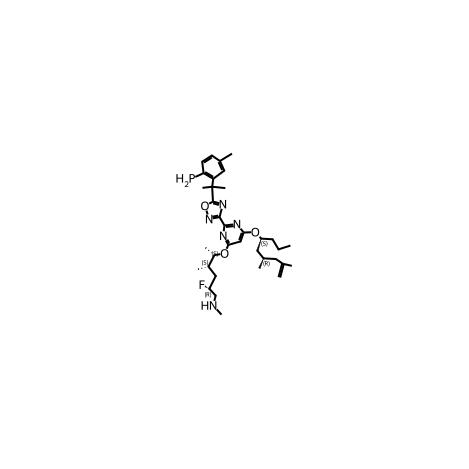 C=C(C)C[C@@H](C)C[C@H](CCC)Oc1cc(O[C@@H](C)[C@@H](C)C[C@@H](F)CNC)nc(-c2noc(C(C)(C)c3cc(C)ccc3P)n2)n1